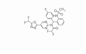 CS(=O)(=O)Nc1ccccc1C(c1ccc(F)cc1)N(C(=O)C(F)F)c1ncc(-c2nnc(C(F)F)o2)cn1